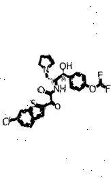 O=C(N[C@H](CN1CCCC1)[C@H](O)c1ccc(OC(F)F)cc1)C(=O)c1cc2ccc(Cl)cc2s1